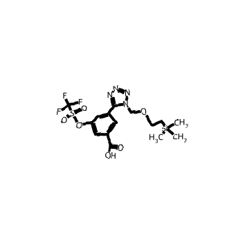 C[Si](C)(C)CCOCn1nnnc1-c1cc(OS(=O)(=O)C(F)(F)F)cc(C(=O)O)c1